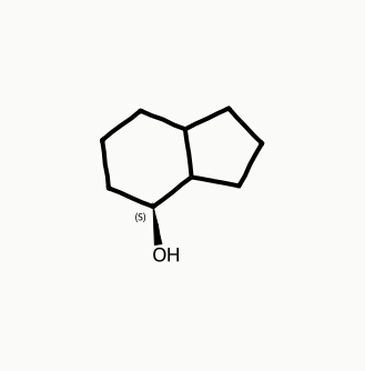 O[C@H]1CCCC2CCCC21